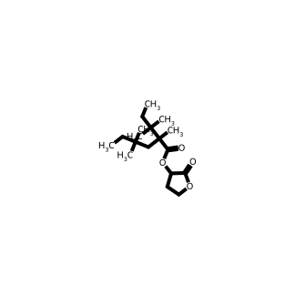 CCC(C)(C)CC(C)(C(=O)OC1CCOC1=O)C(C)(C)CC